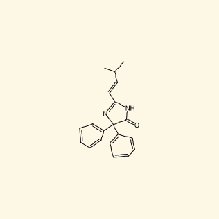 CC(C)/C=C/C1=NC(c2ccccc2)(c2ccccc2)C(=O)N1